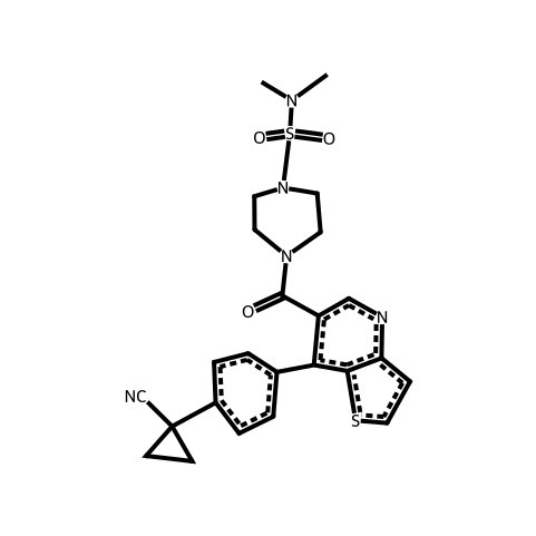 CN(C)S(=O)(=O)N1CCN(C(=O)c2cnc3ccsc3c2-c2ccc(C3(C#N)CC3)cc2)CC1